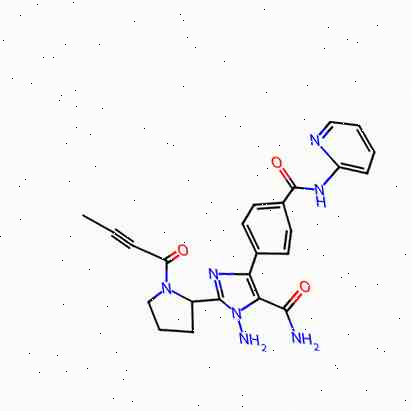 CC#CC(=O)N1CCCC1c1nc(-c2ccc(C(=O)Nc3ccccn3)cc2)c(C(N)=O)n1N